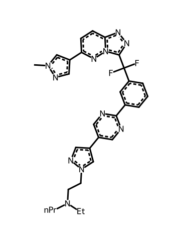 CCCN(CC)CCn1cc(-c2cnc(-c3cccc(C(F)(F)c4nnc5ccc(-c6cnn(C)c6)nn45)c3)nc2)cn1